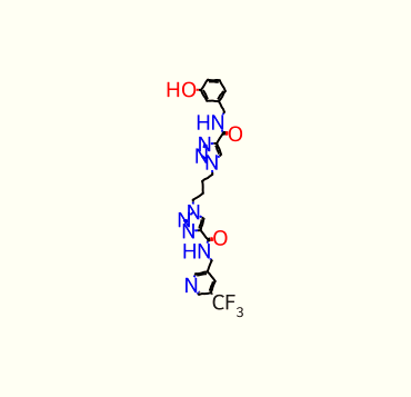 O=C(NCc1cccc(O)c1)c1cn(CCCCn2cc(C(=O)NCc3cncc(C(F)(F)F)c3)nn2)nn1